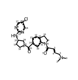 CN(C)C/C=C/C(=O)N1CCc2ccc(C(=O)N3CC[C@@H](Nc4ncc(Cl)cn4)C3)cc21